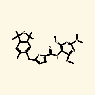 COc1nc(N(C)C)nc(OC)c1NC(=O)c1ccc(Cc2cc3c(cc2C)C(C)(C)OC3(C)C)o1